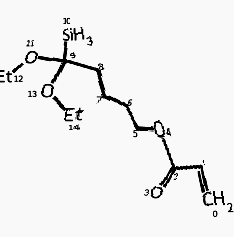 C=CC(=O)OCCCCC([SiH3])(OCC)OCC